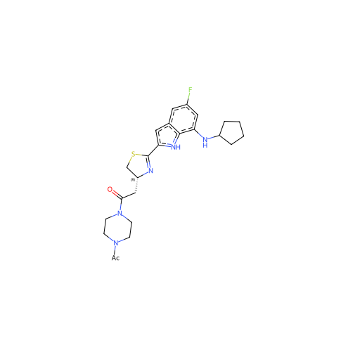 CC(=O)N1CCN(C(=O)C[C@@H]2CSC(c3cc4cc(F)cc(NC5CCCC5)c4[nH]3)=N2)CC1